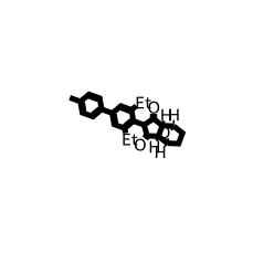 CCc1cc(-c2ccc(C)cc2)cc(CC)c1C1C(=O)[C@@H]2[C@H](C1=O)[C@H]1CC[C@@H]2O1